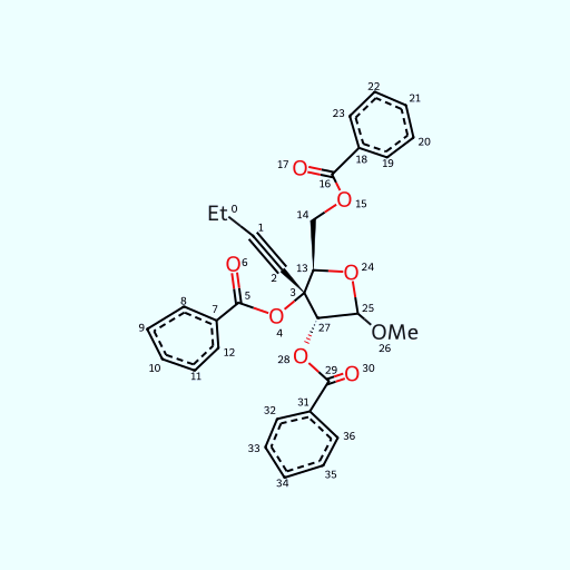 CCC#C[C@@]1(OC(=O)c2ccccc2)[C@@H](COC(=O)c2ccccc2)OC(OC)[C@@H]1OC(=O)c1ccccc1